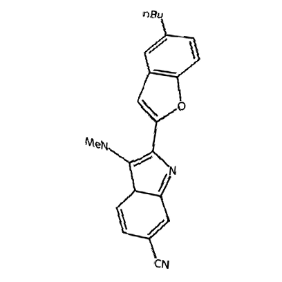 CCCCc1ccc2oc(C3=C(NC)C4C=CC(C#N)=CC4=N3)cc2c1